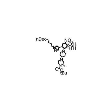 [2H]C([2H])([2H])Oc1cc(N2CCC(N3CCN(C(=O)OC(C)(C)C)C(C)C3)CC2)c(-c2cnn(CCCCCCCCCCCCCC)c2)cc1[N+](=O)[O-]